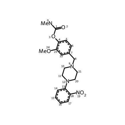 CNC(=O)Oc1ccc(CN2CCN(c3ccccc3[N+](=O)[O-])CC2)cc1OC